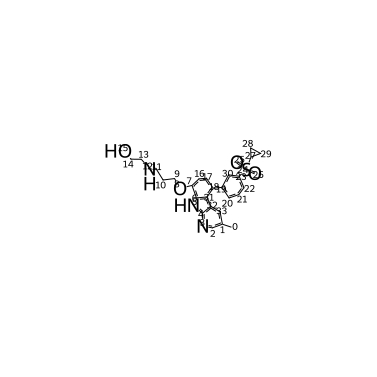 Cc1cnc2[nH]c3c(OCCCNCCO)ccc(-c4cccc(S(=O)(=O)C5CC5)c4)c3c2c1